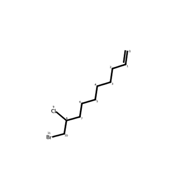 C=CCCCCCCC(Cl)CBr